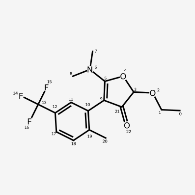 CCOC1OC(N(C)C)=C(c2cc(C(F)(F)F)ccc2C)C1=O